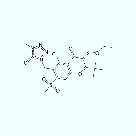 CCOC=C(C(=O)c1ccc(S(C)(=O)=O)c(Cn2nnn(C)c2=O)c1Cl)C(=O)C(C)(C)C